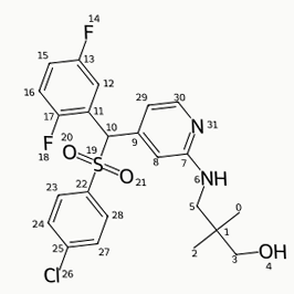 CC(C)(CO)CNc1cc(C(c2cc(F)ccc2F)S(=O)(=O)c2ccc(Cl)cc2)ccn1